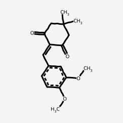 COc1ccc(C=C2C(=O)CC(C)(C)CC2=O)cc1OC